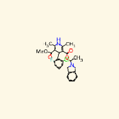 COC(=O)C1=C(C)NC(C)=C(C(=O)OC(C)N2Cc3ccccc3C2)C1c1c(F)cccc1Cl